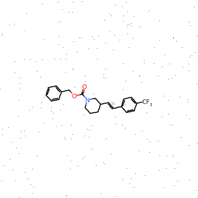 O=C(OCc1ccccc1)N1CCCC(/C=C/c2ccc(C(F)(F)F)cc2)C1